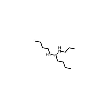 CCCCNN(CCCC)NCCC